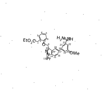 CCOC(=O)Cc1ccccc1OCc1nn(C(C)C)c2ccc(-c3cc(OC)cc(C(=N)N)c3)cc12